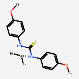 CCOc1ccc(NC(=S)Nc2ccc(OCC)cc2)cc1.C[CH2][AlH][CH2]C